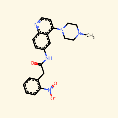 CN1CCN(c2ccnc3ccc(NC(=O)Cc4ccccc4[N+](=O)[O-])cc23)CC1